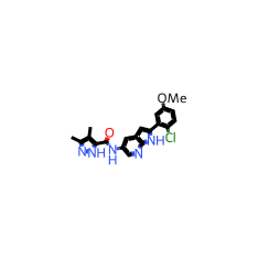 COc1ccc(Cl)c(-c2cc3cc(NC(=O)c4[nH]nc(C)c4C)cnc3[nH]2)c1